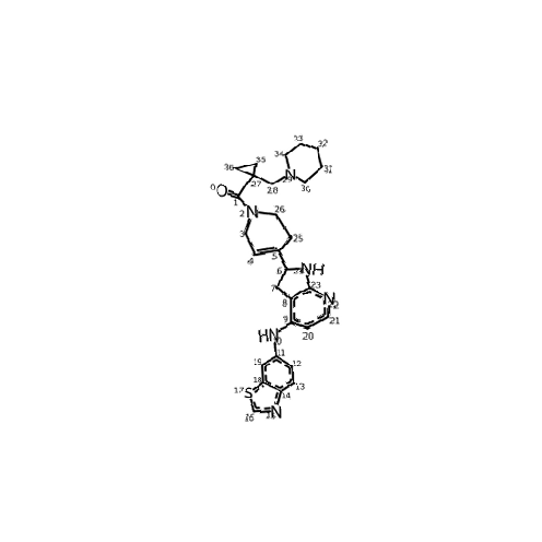 O=C(N1CC=C(C2Cc3c(Nc4ccc5ncsc5c4)ccnc3N2)CC1)C1(CN2CCCCC2)CC1